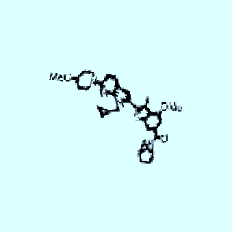 COc1cc(C(=O)N2CC3CCC2[C@@H]3C)cc2sc(-c3cc4ccc(N5CCC(OC)CC5)nc4n3CC3CC3)c(C)c12